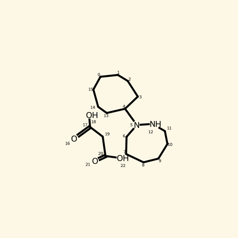 C1CCCC(N2CCCCCCN2)CCC1.O=C(O)CC(=O)O